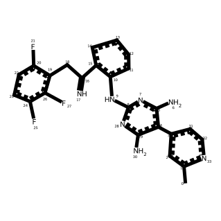 Cc1cc(-c2c(N)nc(Nc3ccccc3C(=N)Cc3c(F)ccc(F)c3F)nc2N)ccn1